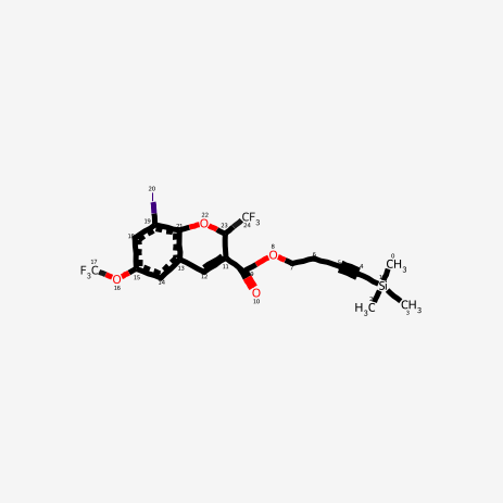 C[Si](C)(C)C#CCCOC(=O)C1=Cc2cc(OC(F)(F)F)cc(I)c2OC1C(F)(F)F